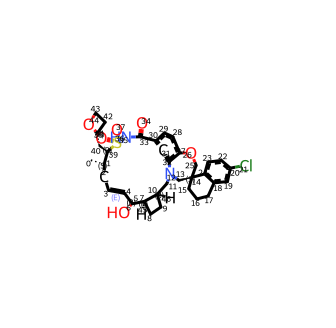 C[C@H]1C/C=C/[C@H](O)[C@@H]2CC[C@H]2CN2C[C@@]3(CCCc4cc(Cl)ccc43)COc3ccc(cc32)C(=O)NS(=O)(=O)[C@@H]1C[C@H]1CCO1